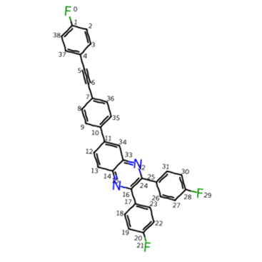 Fc1ccc(C#Cc2ccc(-c3ccc4nc(-c5ccc(F)cc5)c(-c5ccc(F)cc5)nc4c3)cc2)cc1